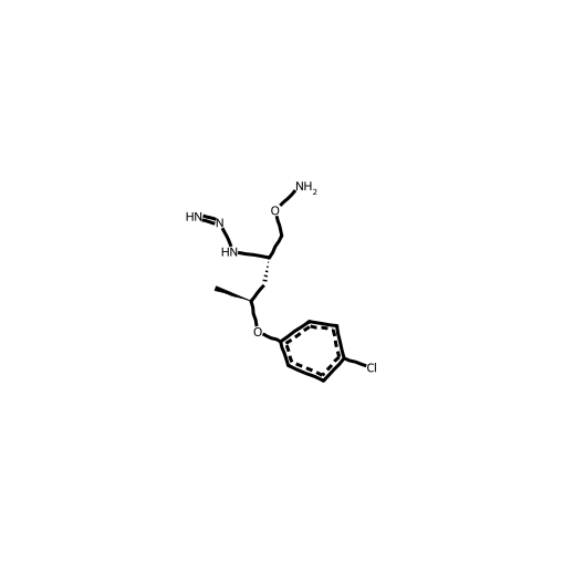 C[C@@H](C[C@@H](CON)NN=N)Oc1ccc(Cl)cc1